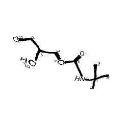 CC(C)(C)NC(=O)OCC(O)CCl